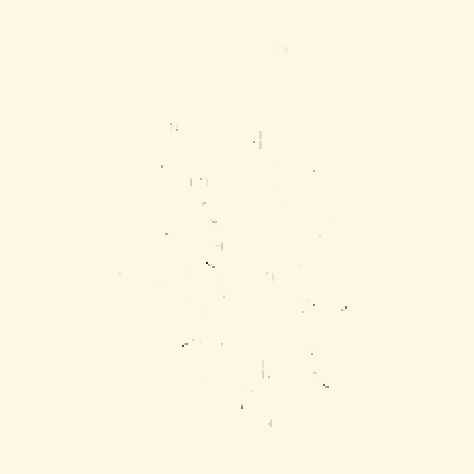 C[C@H](N)C(=O)N[C@@H](CS)C(=O)N[C@@H](CO)C(=O)N[C@@H](CO)C(=O)N[C@@H](CO)C(=O)N1CCC[C@H]1C(=O)N[C@@H](CO)C(=O)N[C@@H](CCCCN)C(=O)N[C@@H](Cc1c[nH]cn1)C(=O)N[C@@H](CS)C(=O)NCC(=O)O